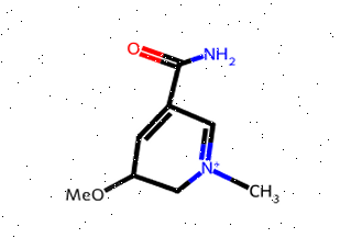 COC1C=C(C(N)=O)C=[N+](C)C1